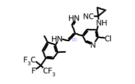 Cc1cc(C(F)(C(F)(F)F)C(F)(F)F)cc(C)c1N/C=C(\C=N)c1cnc(Cl)c(NC2(C#N)CC2)c1